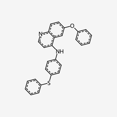 c1ccc(Oc2ccc3nccc(Nc4ccc(Sc5ccccc5)cc4)c3c2)cc1